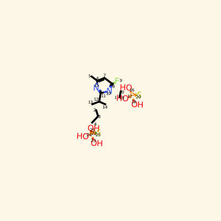 CC.CCC.Cc1cc(F)nc(C(C)C)n1.OP(O)(O)=S.OP(O)(O)=S